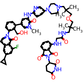 Cn1cc(-c2cccc(-n3ccc4cc(C5CC5)cc(F)c4c3=O)c2CO)cc(Nc2ccc(N3CCN(CC(C)(C)COCC(C)(C)CNC(=O)CNc4cccc5c4C(=O)N(C4CCC(=O)NC4=O)C5=O)CC3)cn2)c1=O